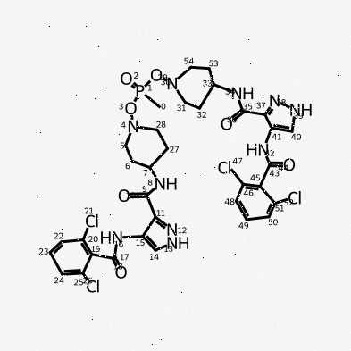 CP(=O)(ON1CCC(NC(=O)c2n[nH]cc2NC(=O)c2c(Cl)cccc2Cl)CC1)ON1CCC(NC(=O)c2n[nH]cc2NC(=O)c2c(Cl)cccc2Cl)CC1